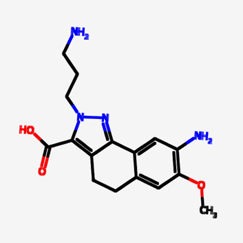 COc1cc2c(cc1N)-c1nn(CCCN)c(C(=O)O)c1CC2